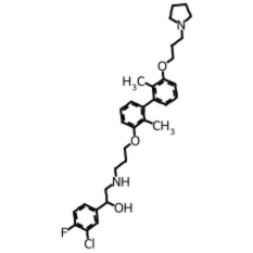 Cc1c(OCCCNCC(O)c2ccc(F)c(Cl)c2)cccc1-c1cccc(OCCCN2CCCC2)c1C